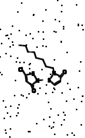 CCCCCCCCn1sccc1=O.Cn1sc(Cl)cc1=O